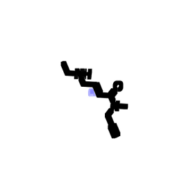 C#CCN(C)C(=O)/C=C/CNCC